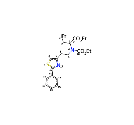 CCOC(=O)C(CC(C)C)N(CCc1csc(-c2ccccc2)n1)C(=O)OCC